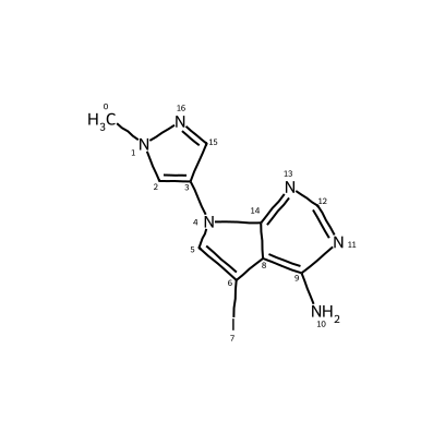 Cn1cc(-n2cc(I)c3c(N)ncnc32)cn1